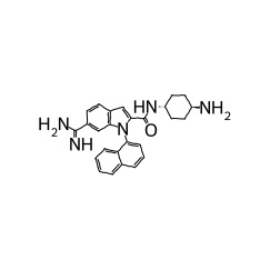 N=C(N)c1ccc2cc(C(=O)N[C@H]3CC[C@H](N)CC3)n(-c3cccc4ccccc34)c2c1